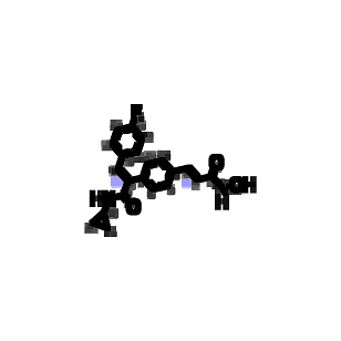 O=C(/C=C/c1ccc(/C(=C\c2ccc(F)cc2)C(=O)NC2CC2)cc1)NO